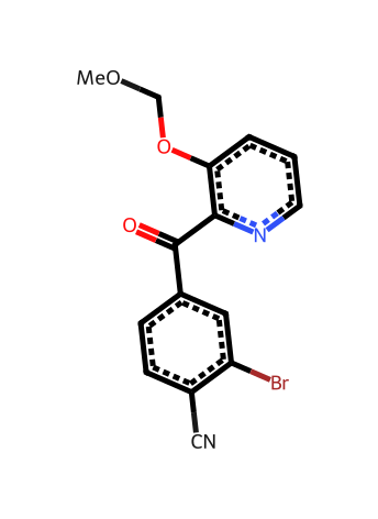 COCOc1cccnc1C(=O)c1ccc(C#N)c(Br)c1